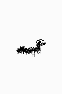 CCC(CCN(C)C)C(=O)N1CCN(C(=O)c2ccc(NC(=O)c3ncc(-c4ccc(-c5cn(-c6ccccn6)nc5C)c(F)c4F)n3C)cc2Cl)CC1